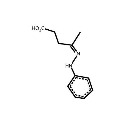 CC(CCC(=O)O)=NNc1ccccc1